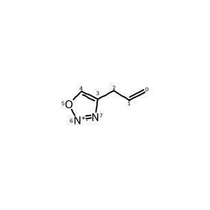 C=CCC1=CO[N+]=N1